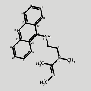 C/N=C(\C)N(C)CCNc1c2ccccc2nc2ccccc12